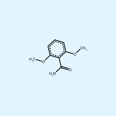 COc1cccc(OC)c1C(N)=O